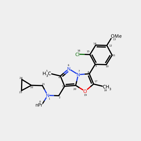 CCCN(Cc1c(C)nn2c(-c3ccc(OC)cc3Cl)c(C)oc12)CC1CC1